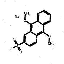 COc1c2ccccc2c(OC)c2cc(S(=O)(=O)[O-])ccc12.[Na+]